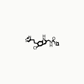 O=C(NCc1cc2cc(Cl)c(CCc3cscn3)cc2[nH]1)N1CCC1